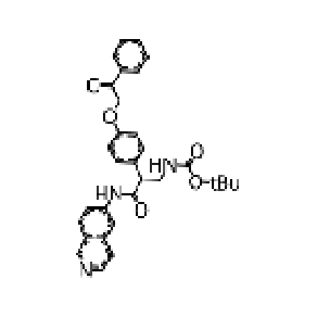 CC(C)(C)OC(=O)NCC(C(=O)Nc1ccc2cnccc2c1)c1ccc(OCC(=O)c2ccccc2)cc1